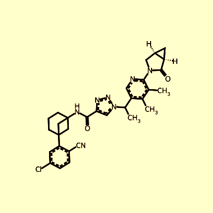 Cc1c(C(C)n2cc(C(=O)NC34CCCC(c5cc(Cl)ccc5C#N)(C3)C4)nn2)cnc(N2C[C@H]3C[C@H]3C2=O)c1C